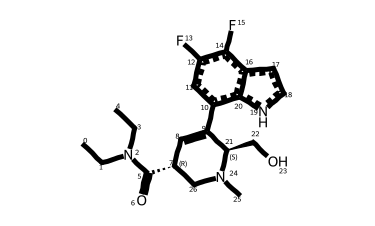 CCN(CC)C(=O)[C@@H]1C=C(c2cc(F)c(F)c3cc[nH]c23)[C@@H](CO)N(C)C1